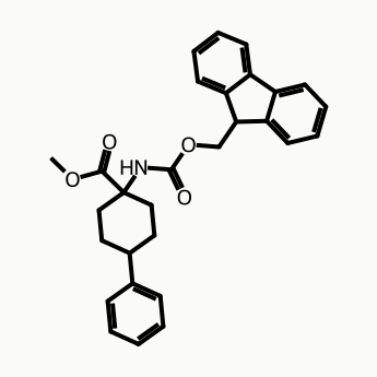 COC(=O)C1(NC(=O)OCC2c3ccccc3-c3ccccc32)CCC(c2ccccc2)CC1